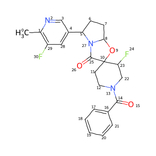 Cc1ncc(C2CCC3OC4(CCN(C(=O)c5ccccc5)CC4F)C(=O)N32)cc1F